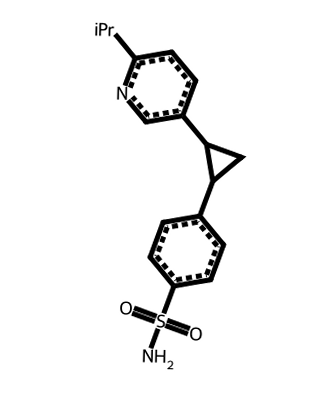 CC(C)c1ccc(C2CC2c2ccc(S(N)(=O)=O)cc2)cn1